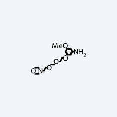 COc1cc(N)cc(OCCOCCOCCN2CCOCC2)c1